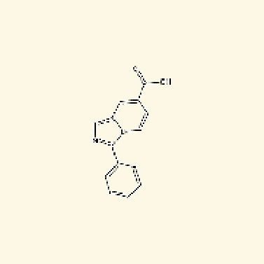 O=C(O)c1ccn2c(-c3ccccc3)ncc2c1